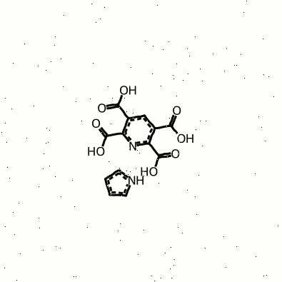 O=C(O)c1cc(C(=O)O)c(C(=O)O)nc1C(=O)O.c1cc[nH]c1